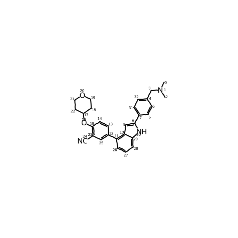 CN(C)Cc1ccc(-c2cc3c(-c4ccc(OC5CCOCC5)c(C#N)c4)cccc3[nH]2)cc1